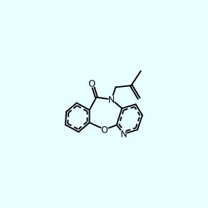 C=C(C)CN1C(=O)c2ccccc2Oc2ncccc21